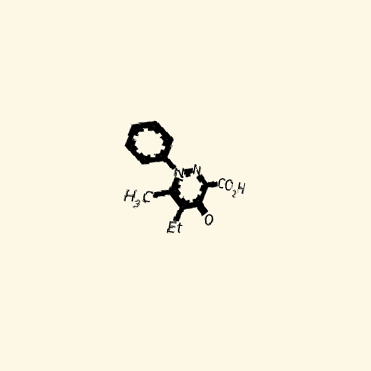 CCc1c(C)n(-c2ccccc2)nc(C(=O)O)c1=O